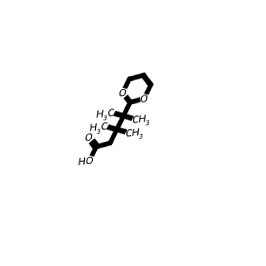 CC(C)(CC(=O)O)C(C)(C)C1OCCCO1